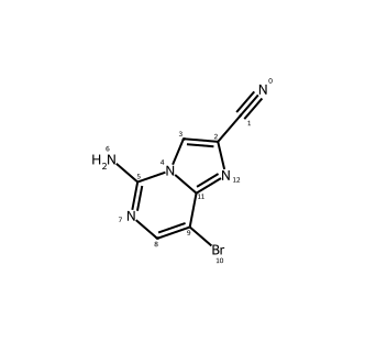 N#Cc1cn2c(N)ncc(Br)c2n1